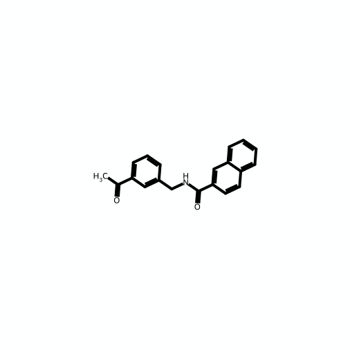 CC(=O)c1cccc(CNC(=O)c2ccc3ccccc3c2)c1